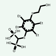 CCc1c(CC)c(SC(P(=O)(O)O)P(=O)(O)O)c(CC)c(CC)c1SCCO